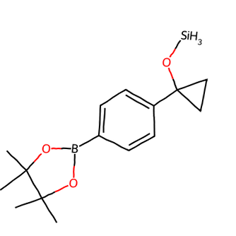 CC1(C)OB(c2ccc(C3(O[SiH3])CC3)cc2)OC1(C)C